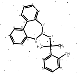 CC(C)(Op1oc2ccccc2c2ccccc2o1)c1ccccc1O